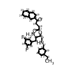 CCc1cccc(CNC[C@@H](OC(=O)CCC(=O)c2ccc3ccccc3c2)[C@@H](N)Cc2cc(F)cc(F)c2)c1